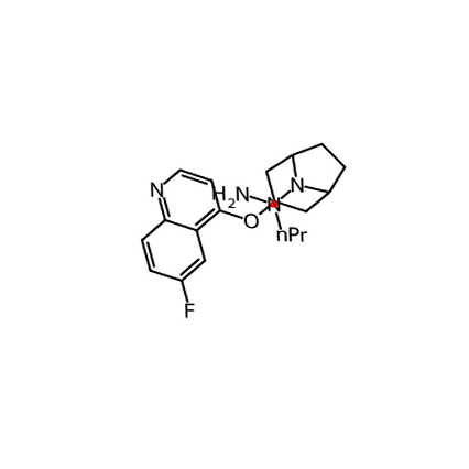 CCCN(N)N1C2CCC1CC(Oc1ccnc3ccc(F)cc13)C2